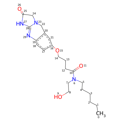 CCCCCCN(CCO)C(=O)CCCOc1ccc2c(c1)CN1CC(=O)NC1=N2